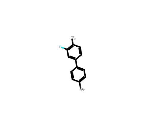 CCCc1ccc(-c2ccc(C(F)(F)F)c(F)c2)cc1